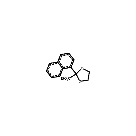 CCOC(=O)C1(c2cccc3ccccc23)OCCO1